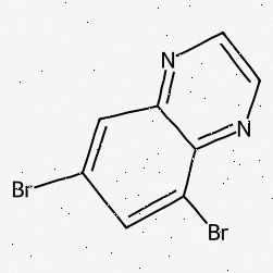 Brc1cc(Br)c2nccnc2c1